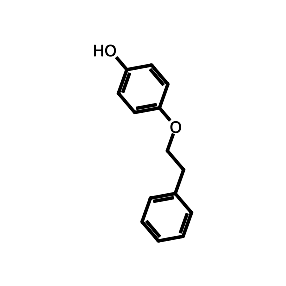 Oc1ccc(OCCc2ccccc2)cc1